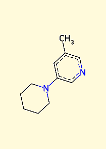 Cc1cncc(N2CCCCC2)c1